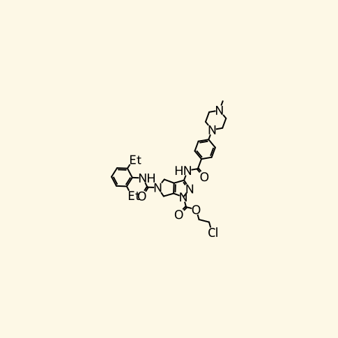 CCc1cccc(CC)c1NC(=O)N1Cc2c(NC(=O)c3ccc(N4CCN(C)CC4)cc3)nn(C(=O)OCCCl)c2C1